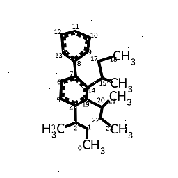 CCC(C)c1ccc(-c2ccccc2)c(C(C)CC)c1C(C)CC